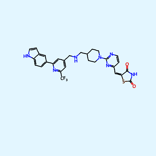 O=C1NC(=O)/C(=C\c2ccnc(N3CCC(CNCc4cc(-c5ccc6[nH]ccc6c5)nc(C(F)(F)F)c4)CC3)n2)S1